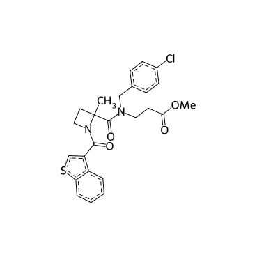 COC(=O)CCN(Cc1ccc(Cl)cc1)C(=O)C1(C)CCN1C(=O)c1csc2ccccc12